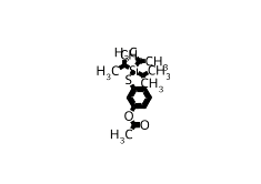 CC(=O)Oc1cccc(S[Si](C(C)C)(C(C)C)C(C)C)c1